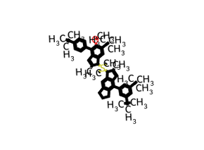 COc1c(C(C)(C)C)cc2c(c1-c1ccc(C(C)(C)C)cc1)C=C(C)C2S(C)(C)C1C(C)=Cc2c1cc1c(c2-c2cc(C(C)(C)C)cc(C(C)(C)C)c2)CCC1